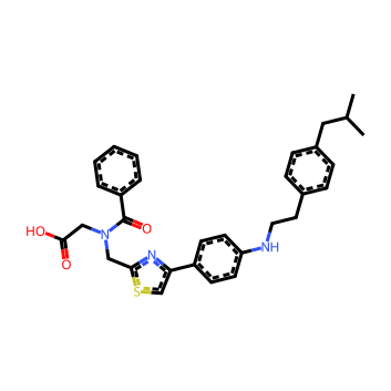 CC(C)Cc1ccc(CCNc2ccc(-c3csc(CN(CC(=O)O)C(=O)c4ccccc4)n3)cc2)cc1